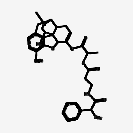 COc1ccc2c3c1OC1C(OC(=O)C(C)OC(=O)CCNC(=O)C(OC(C)=O)c4ccccc4)=CCC4C(C2)N(C)CC(O)C314